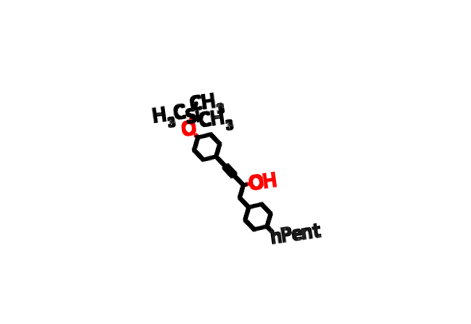 CCCCCC1CCC(CC(O)C#CC2CCC(O[Si](C)(C)C)CC2)CC1